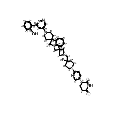 O=C1CC[C@H](c2ccc(N3CCC(F)(CN4CC5(C4)CN(C(=O)C4(c6ccccc6)CCN(c6cnnc(-c7ccccc7O)c6)CC4)C5)CC3)nc2)C(=O)N1